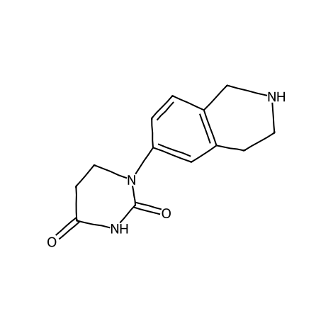 O=C1CCN(c2ccc3c(c2)CCNC3)C(=O)N1